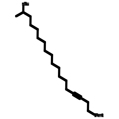 [CH2]CCCC(C)CCCCCCCCCCCCC#CCCC(C)CC[CH2]